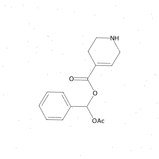 CC(=O)OC(OC(=O)C1=CCNCC1)c1ccccc1